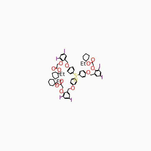 CCC1(OC(=O)COc2c(I)cc(I)cc2COc2ccc([SH](c3ccc(OCc4cc(I)cc(I)c4OCC(=O)OC4(CC)CCCCC4)cc3)c3ccc(OCc4cc(I)cc(I)c4OCC(=O)OC4(CC)CCCCC4)cc3)cc2)CCCCC1